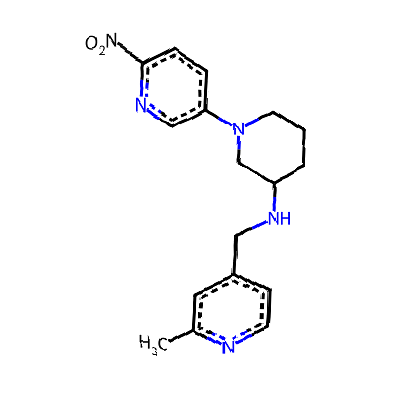 Cc1cc(CNC2CCCN(c3ccc([N+](=O)[O-])nc3)C2)ccn1